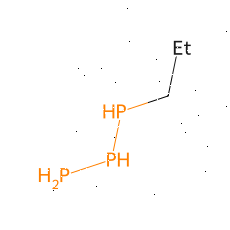 CCCPPP